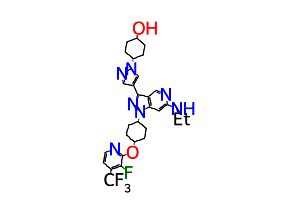 CCNc1cc2c(cn1)c(-c1cnn([C@H]3CC[C@H](O)CC3)c1)nn2[C@H]1CC[C@@H](Oc2nccc(C(F)(F)F)c2F)CC1